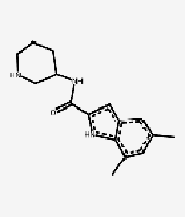 Cc1cc(C)c2[nH]c(C(=O)NC3CCCNC3)cc2c1